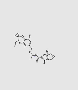 C=C1N(C(=O)/N=C(\C)OCc2cc(F)c(OC3(CCF)CC3)c(F)c2)C[C@H]2COCN12